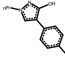 CCCn1cc(-c2ccc(C)cc2)c(O)n1